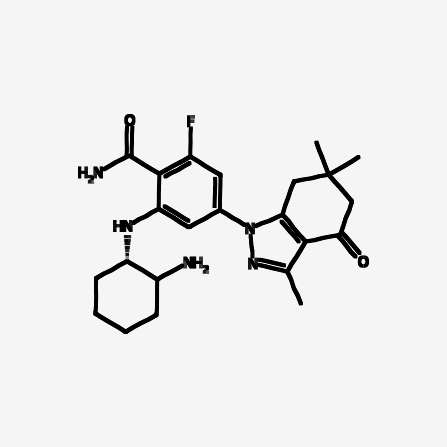 Cc1nn(-c2cc(F)c(C(N)=O)c(N[C@H]3CCCCC3N)c2)c2c1C(=O)CC(C)(C)C2